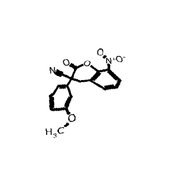 COc1cccc(C2(C#N)Cc3cccc([N+](=O)[O-])c3OC2=O)c1